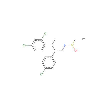 CC(C)C[S+]([O-])NCC(c1ccc(Cl)cc1)C(C)c1ccc(Cl)cc1Cl